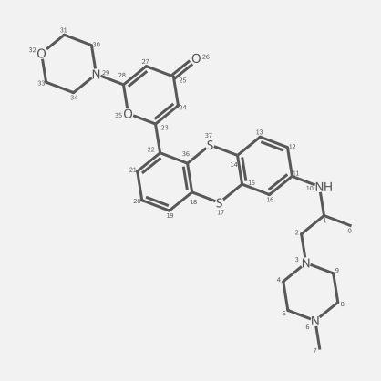 CC(CN1CCN(C)CC1)Nc1ccc2c(c1)Sc1cccc(-c3cc(=O)cc(N4CCOCC4)o3)c1S2